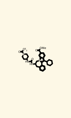 COC(=O)c1ccc2c(C3CCCCC3)c3n(c2c1)CC(NC(=O)NC1CCN(C(=O)C(F)(F)F)CC1)Cc1ccccc1-3